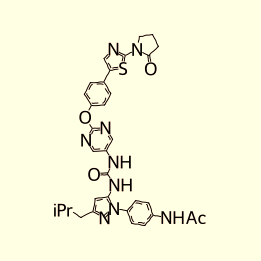 CC(=O)Nc1ccc(-n2nc(CC(C)C)cc2NC(=O)Nc2cnc(Oc3ccc(-c4cnc(N5CCCC5=O)s4)cc3)nc2)cc1